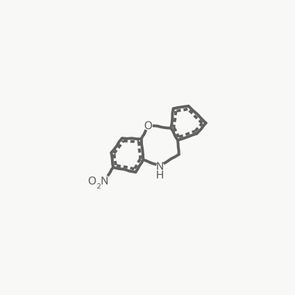 O=[N+]([O-])c1ccc2c(c1)NCc1ccccc1O2